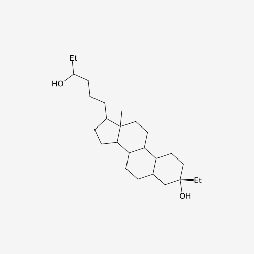 CCC(O)CCCC1CCC2C3CCC4C[C@](O)(CC)CCC4C3CCC12C